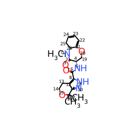 CN1C(=O)[C@@H](NC(=O)c2[nH]nc3c2CCOC3(C)C)COC2=CC=CCC21